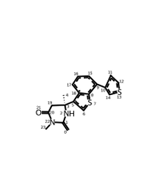 C=C1N[C@](C)(c2csc3c(-c4ccsc4)cccc23)CC(=O)N1C